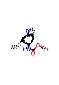 COc1cc(N)ccc1NC(=O)OC(C)C